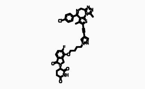 Cc1c(C#Cc2cnn(CCCCOc3c(F)ccc4c3CN(C3CCC(=O)NC3=O)C4=O)c2)sc2c1C(c1ccc(Cl)cc1)=NCc1nnc(C)n1-2